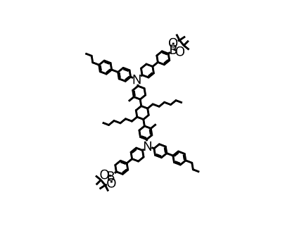 CCCCCCC1CC(C2CCC(N(c3ccc(-c4ccc(CCC)cc4)cc3)C3C=CC(C4C=CC(B5OC(C)(C)C(C)(C)O5)=CC4)CC3)C=C2C)C(CCCCCC)CC1C1CC=C(N(C2C=CC(c3ccc(CCC)cc3)=CC2)C2C=CC(C3=CCC(B4OC(C)(C)C(C)(C)O4)C=C3)CC2)C=C1C